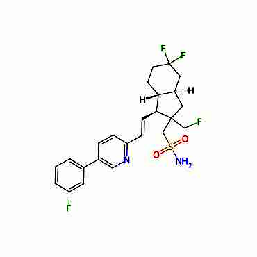 NS(=O)(=O)CC1(CF)C[C@@H]2CC(F)(F)CC[C@H]2[C@@H]1C=Cc1ccc(-c2cccc(F)c2)cn1